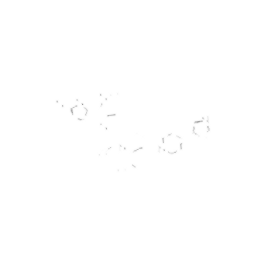 CO/N=C(\C(=O)N[C@@H]1C(=O)N2C(C(=O)[O-])=C(C[n+]3ccc(-c4cnco4)cc3)CS[C@H]12)c1csc(N)n1